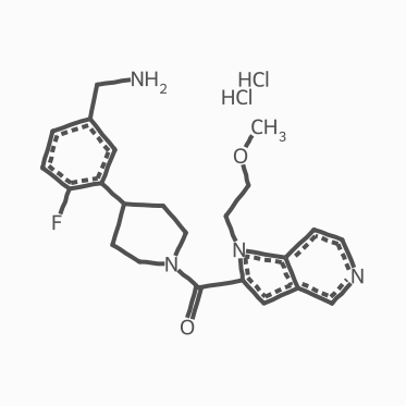 COCCn1c(C(=O)N2CCC(c3cc(CN)ccc3F)CC2)cc2cnccc21.Cl.Cl